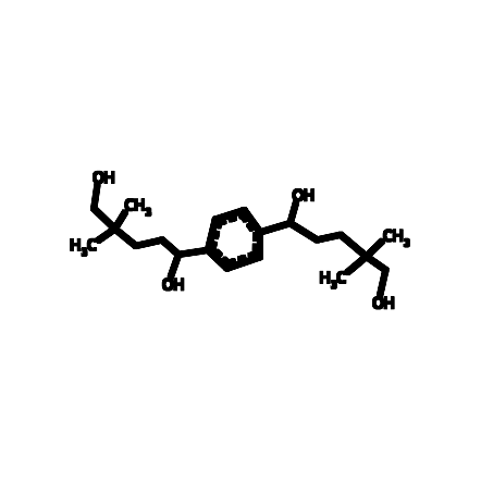 CC(C)(CO)CCC(O)c1ccc(C(O)CCC(C)(C)CO)cc1